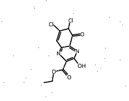 CCOC(=O)c1nc2c(nc1O)C(=O)C(Cl)C(Cl)=C2